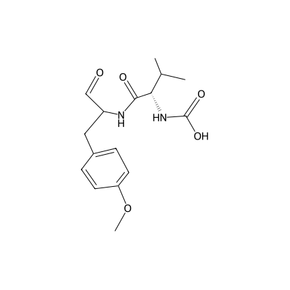 COc1ccc(CC(C=O)NC(=O)[C@@H](NC(=O)O)C(C)C)cc1